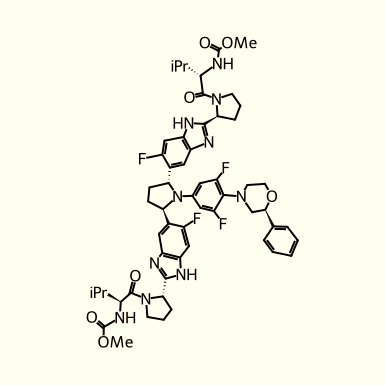 COC(=O)N[C@H](C(=O)N1CCC[C@H]1c1nc2cc([C@H]3CC[C@H](c4cc5nc([C@@H]6CCCN6C(=O)[C@@H](NC(=O)OC)C(C)C)[nH]c5cc4F)N3c3cc(F)c(N4CCO[C@@H](c5ccccc5)C4)c(F)c3)c(F)cc2[nH]1)C(C)C